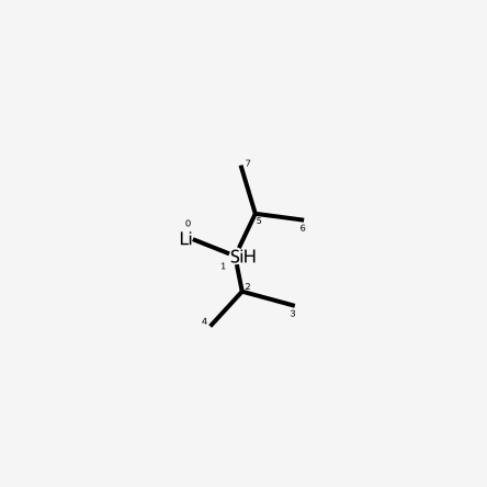 [Li][SiH](C(C)C)C(C)C